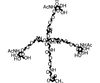 CC(=O)NC1C(O)[C@H](O)C(CO)O[C@@H]1OCCOCCOCCn1cc(COCC(COCc2cn(CCOCCOCCO[C@H]3OC(CO)[C@@H](O)C(O)C3NC(C)=O)nn2)(COCc2cn(CCOCCOCCO[C@H]3OC(CO)[C@@H](O)C(O)C3NC(C)=O)nn2)NC(=O)CCNC(=O)CCOCCOCCNC(=O)CCN2C(=O)CC(C)C2=O)nn1